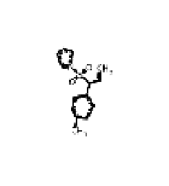 C=CC(c1ccc(C)cc1)S(=O)(=O)n1cccc1